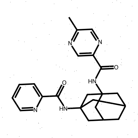 Cc1cnc(C(=O)NC23CC4CC(CC(NC(=O)c5ccccn5)(C4)C2)C3)cn1